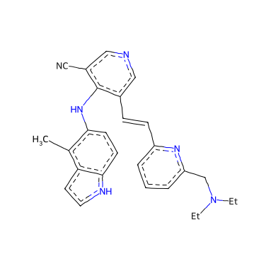 CCN(CC)Cc1cccc(C=Cc2cncc(C#N)c2Nc2ccc3[nH]ccc3c2C)n1